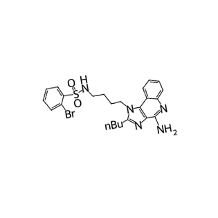 CCCCc1nc2c(N)nc3ccccc3c2n1CCCCNS(=O)(=O)c1ccccc1Br